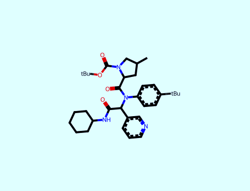 CC1CC(C(=O)N(c2ccc(C(C)(C)C)cc2)C(C(=O)NC2CCCCC2)c2cccnc2)N(C(=O)OC(C)(C)C)C1